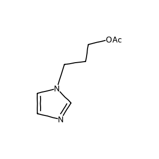 CC(=O)OCCCn1ccnc1